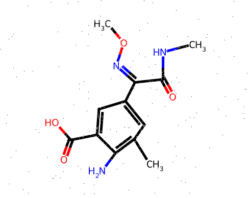 CNC(=O)C(=NOC)c1cc(C)c(N)c(C(=O)O)c1